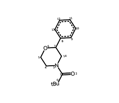 CC(C)(C)C(=O)N1CCOC(c2ccccc2)C1